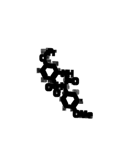 COc1ccc(N2C(=O)Nc3cc(OC(C)C)ccc3S2(=O)=O)cc1